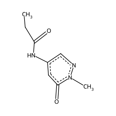 CCC(=O)Nc1cnn(C)c(=O)c1